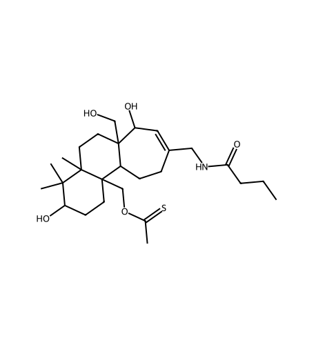 CCCC(=O)NCC1=CC(O)C2(CO)CCC3(C)C(C)(C)C(O)CCC3(COC(C)=S)C2CC1